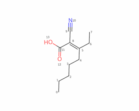 CCCCCC(CC)=C(C#N)C(=O)O